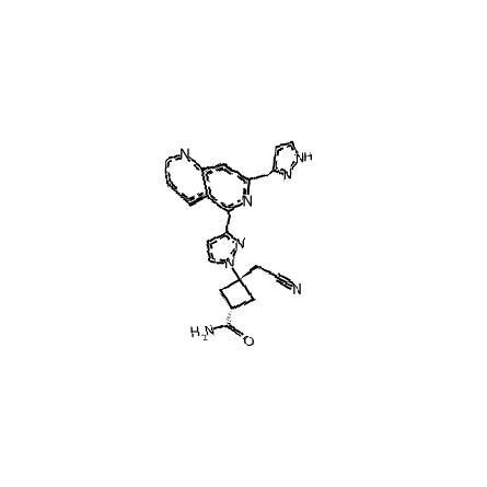 N#CC[C@]1(n2ccc(-c3nc(-c4cc[nH]n4)cc4ncccc34)n2)C[C@@H](C(N)=O)C1